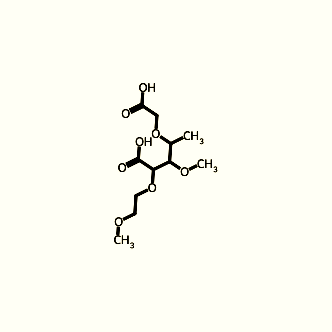 COCCOC(C(=O)O)C(OC)C(C)OCC(=O)O